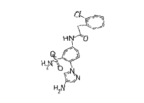 Nc1cnn(-c2ccc(NC(=O)Cc3ccccc3Cl)cc2S(N)(=O)=O)c1